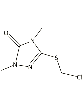 Cn1nc(SCCl)n(C)c1=O